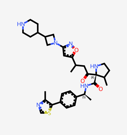 Cc1ncsc1-c1ccc([C@H](C)NC(=O)[C@@]2(C(=O)CC(C)c3cc(N4CC(C5CCNCC5)C4)no3)NCCC2C)cc1